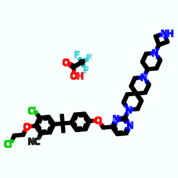 CC(C)(c1ccc(OCc2ccnc(N3CCC4(CC3)CCN(C3CCN(C5CNC5)CC3)CC4)n2)cc1)c1cc(Cl)c(OCCCl)c(C#N)c1.O=C(O)C(F)(F)F